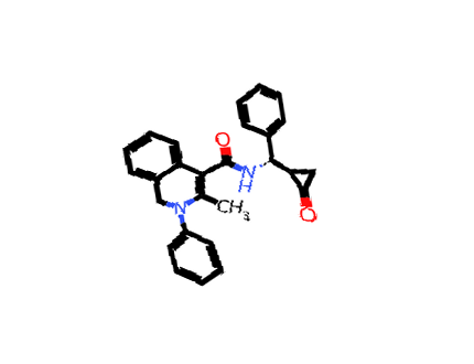 CC1=C(C(=O)N[C@H](c2ccccc2)C2CC2=O)c2ccccc2CN1c1ccccc1